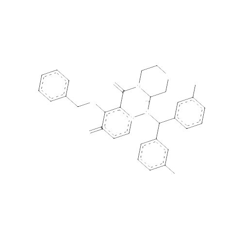 O=C1c2c(OCc3ccccc3)c(=O)ccn2N(C(c2cccc(F)c2)c2cccc(F)c2)[C@@H]2COCCN12